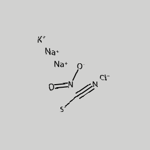 N#C[S-].O=N[O-].[Cl-].[K+].[Na+].[Na+]